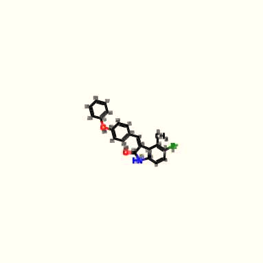 Cc1c(Br)ccc2c1C(=Cc1ccc(Oc3ccccc3)cc1)C(=O)N2